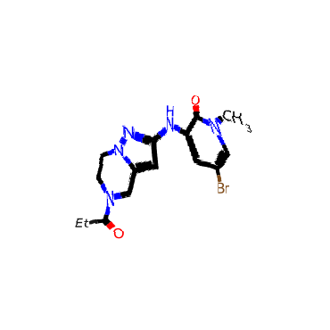 CCC(=O)N1CCn2nc(Nc3cc(Br)cn(C)c3=O)cc2C1